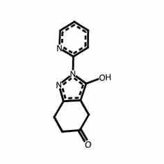 O=C1CCc2nn(-c3ccccn3)c(O)c2C1